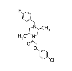 C[C@H]1CN(C(=O)COc2ccc(Cl)cc2)[C@@H](C)CN1Cc1ccc(F)cc1